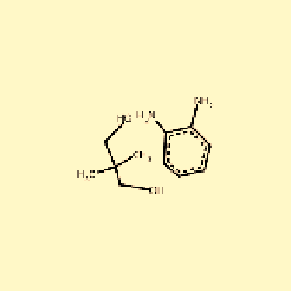 CC(C)(CO)CO.Nc1ccccc1N